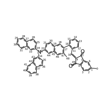 Cc1ccc2c(c1)C(=O)/C(=C\c1ccccc1-c1cc3ccc(N(c4ccc5ccccc5c4)c4ccc5ccccc5c4)cc3cc1C)C2=O